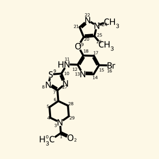 CC(=O)N1CCC(c2nsc(Nc3ncc(Br)cc3Oc3cnn(C)c3C)n2)CC1